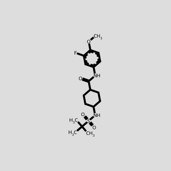 COc1ccc(NC(=O)C2CCC(NS(=O)(=O)C(C)(C)C)CC2)cc1F